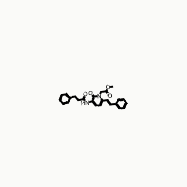 COC(=O)Cn1c(C=Cc2ccccc2)ccc(NC(=O)CCc2ccccc2)c1=O